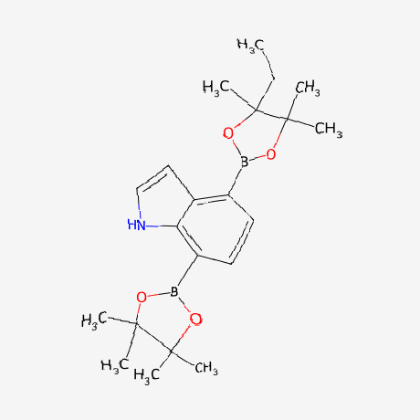 CCC1(C)OB(c2ccc(B3OC(C)(C)C(C)(C)O3)c3[nH]ccc23)OC1(C)C